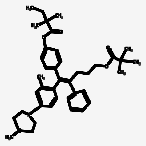 CCC(C)(C)C(=O)Oc1ccc(/C(=C(\CCCOC(=O)C(C)(C)C)c2ccccc2)c2ccc(N3CCN(C)CC3)cc2C)cc1